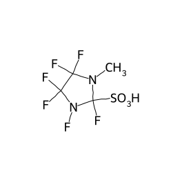 CN1C(F)(F)C(F)(F)N(F)C1(F)S(=O)(=O)O